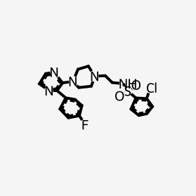 O=S(=O)(NCCN1CCN(c2nccnc2-c2ccc(F)cc2)CC1)c1ccccc1Cl